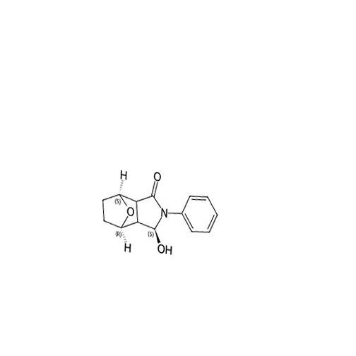 O=C1C2C([C@H]3CC[C@@H]2O3)[C@H](O)N1c1ccccc1